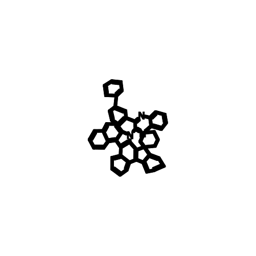 c1ccc(-c2cccc(-c3nc4ccccc4nc3-n3c4ccc5ccccc5c4c4c5ccccc5c5c(c43)C3(CCCCC3)c3ccccc3-5)c2)cc1